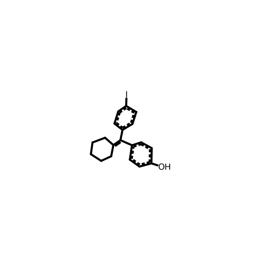 Oc1ccc(C(=C2CCCCC2)c2ccc(I)cc2)cc1